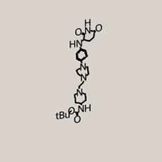 CC(C)(C)OC(=O)NC1CCN(CCN2CCN(c3ccc(NC4CCC(=O)NC4=O)cc3)CC2)CC1